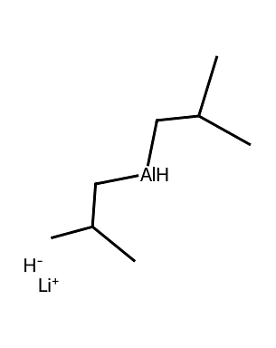 CC(C)[CH2][AlH][CH2]C(C)C.[H-].[Li+]